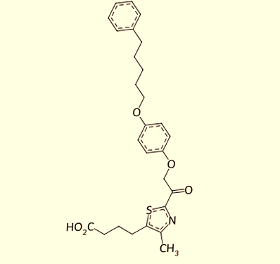 Cc1nc(C(=O)COc2ccc(OCCCCCc3ccccc3)cc2)sc1CCCC(=O)O